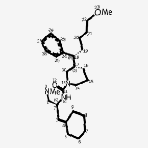 CNC[C@H](CC1CCCCC1)NC(=O)N1CCC[C@@H]([C@@H](CCCCOC)c2ccccc2)C1